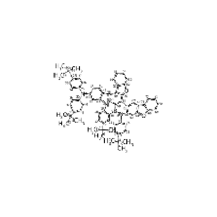 CC(C)(C)c1ccc(N2B3c4cc(C(C)(C)C)ccc4-n4c5cc(N(c6ccc(C(C)(C)C)cc6)c6ccc(C(C)(C)C)cc6)ccc5c5c6c(oc7ccccc76)c(c3c54)-c3cc4c(cc32)oc2ccccc24)cc1